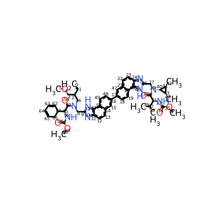 C=CC(COC)CN(Cc1nc2ccc3cc(-c4ccc5c(ccc6nc(CN(C(=O)[C@@H](NC(=O)OC)C(C)C)[C@@H]7[C@H](C)[C@@H]7C)[nH]c65)c4)ccc3c2[nH]1)C(=O)[C@H](NC(=O)OC)C1C=CC=CC1